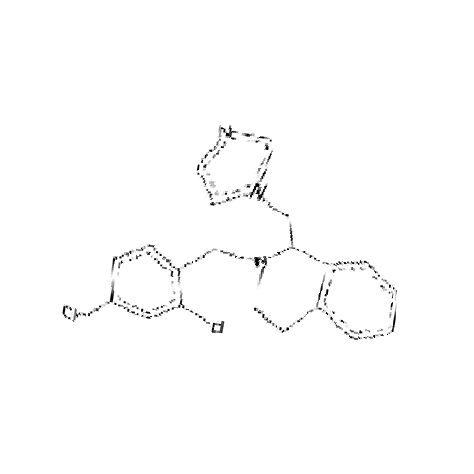 Clc1ccc(CN2CCc3ccccc3C2Cn2ccnc2)c(Cl)c1